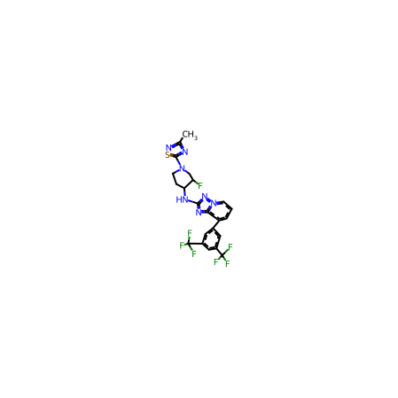 Cc1nsc(N2CCC(Nc3nc4c(-c5cc(C(F)(F)F)cc(C(F)(F)F)c5)cccn4n3)C(F)C2)n1